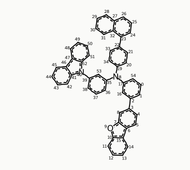 c1cc(-c2ccc3c(c2)oc2ccccc23)cc(N(c2ccc(-c3cccc4ccccc34)cc2)c2cccc(-n3c4ccccc4c4ccccc43)c2)c1